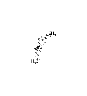 CCCCCC12CCC([C@H]3CC[C@H](CCCCC)CC3)(CC1)CC2